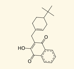 CC(C)(C)C1CC=C(CC2=C(O)C(=O)c3ccccc3C2=O)CC1